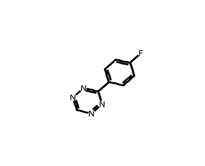 Fc1ccc(-c2nncnn2)cc1